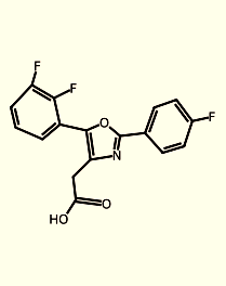 O=C(O)Cc1nc(-c2ccc(F)cc2)oc1-c1cccc(F)c1F